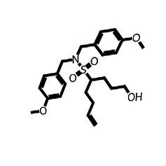 C=CCCC(CCCO)S(=O)(=O)N(Cc1ccc(OC)cc1)Cc1ccc(OC)cc1